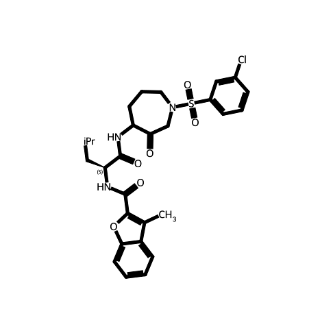 Cc1c(C(=O)N[C@@H](CC(C)C)C(=O)NC2CCCN(S(=O)(=O)c3cccc(Cl)c3)CC2=O)oc2ccccc12